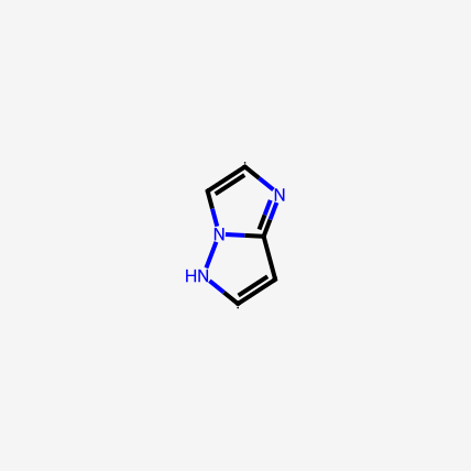 [c]1cn2[nH][c]cc2n1